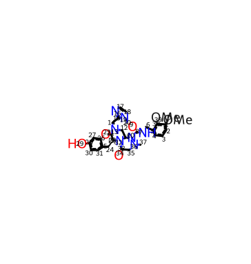 COc1cccc(CNC(=O)N2C3CN(Cc4nccn4C)C(=O)[C@H](Cc4ccc(O)cc4)N3C(=O)CN2C)c1OC